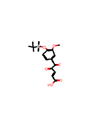 COc1cc(C(=O)C(=O)/C=C/C(=O)O)ccc1O[Si](C)(C)C(C)(C)C